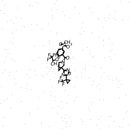 CC(Oc1ccc(S(C)(=O)=O)cc1C(=O)N1CC2CC2(c2noc(C3(C(F)(F)F)CC3)n2)C1)C(F)(F)P